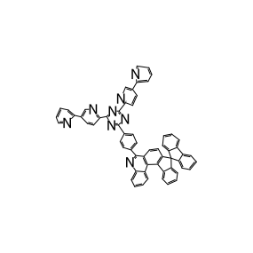 c1ccc(-c2ccc(-c3nc(-c4ccc(-c5nc6ccccc6c6c7c(ccc56)C5(c6ccccc6-c6ccccc65)c5ccccc5-7)cc4)nc(-c4ccc(-c5ccccn5)cn4)n3)nc2)nc1